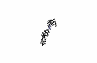 Cc1ccc(C(C)C)c(N2/C(=N/N=C/c3ccc4c(ccc5c4ncn5-c4ccc(C(F)(F)F)nn4)c3)SCC2(C)O)c1